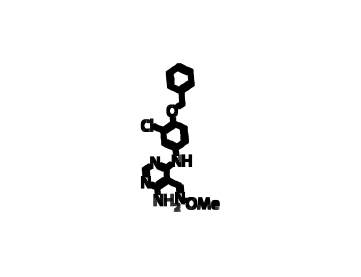 CON=Cc1c(N)ncnc1Nc1ccc(OCc2ccccc2)c(Cl)c1